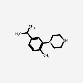 Cc1ccc(C(C)C)cc1N1CCNCC1